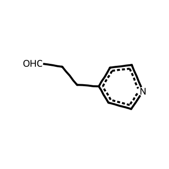 O=CCCc1ccncc1